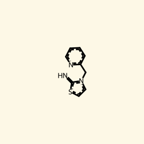 N=c1sccn1Cc1ccccn1